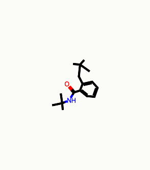 CC(C)(C)Cc1ccccc1C(=O)NC(C)(C)C